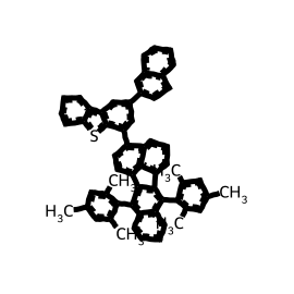 Cc1cc(C)c(-c2c3c(c(-c4c(C)cc(C)cc4C)c4ccccc24)-c2ccc(-c4cc(-c5ccc6ccccc6c5)cc5c4sc4ccccc45)c4cccc-3c24)c(C)c1